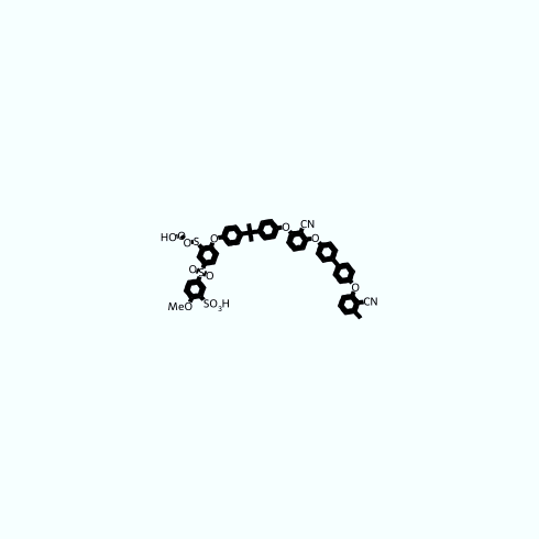 COc1ccc(S(=O)(=O)c2ccc(Oc3ccc(C(C)(C)c4ccc(Oc5cccc(Oc6ccc(-c7ccc(Oc8cccc(C)c8C#N)cc7)cc6)c5C#N)cc4)cc3)c(SOOO)c2)cc1S(=O)(=O)O